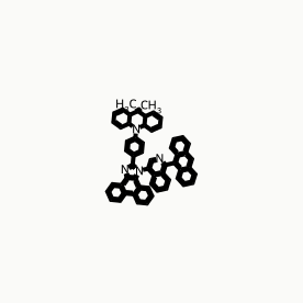 CC1(C)C2C=CC=CC2N(c2ccc(-c3nc4c5ccccc5c5ccccc5c4n3-c3cnc(-c4c5ccccc5cc5ccccc45)c4ccccc34)cc2)C2C=CC=CC21